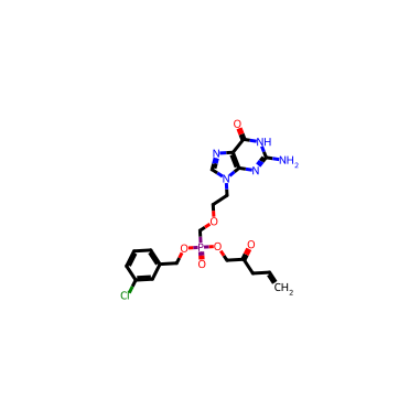 C=CCC(=O)COP(=O)(COCCn1cnc2c(=O)[nH]c(N)nc21)OCc1cccc(Cl)c1